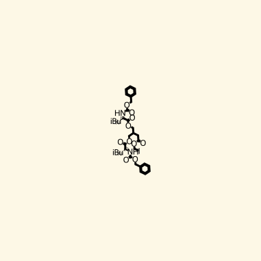 CC[C@H](C)[C@H](NC(=O)OCc1ccccc1)C(=O)OCC(COC(=O)[C@@H](NC(=O)OCc1ccccc1)[C@@H](C)CC)CC(=O)OCI